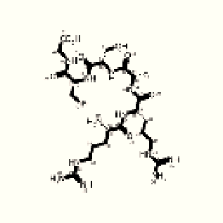 CC(C)C[C@H](NC(=O)[C@H](CO)NC(=O)[C@H](C)NC(=O)[C@H](CCCNC(=N)N)NC(=O)[C@@H](N)CCCNC(=N)N)C(=O)NCC(=O)O